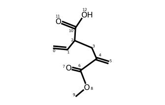 C=CC(CC(=C)C(=O)OC)C(=O)O